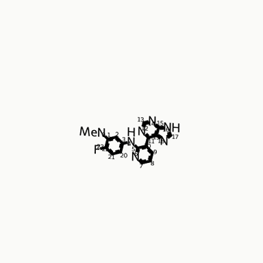 CNc1cc(Nc2ncccc2-c2ncnc3[nH]cnc23)ccc1F